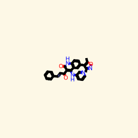 Cc1noc(C)c1-c1ccc2[nH]c(=O)c(C(=O)/C=C/c3ccccc3)c(Nc3cccnc3)c2c1